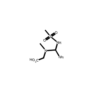 CCCC(NS(C)(=O)=O)N(C)CC(=O)O